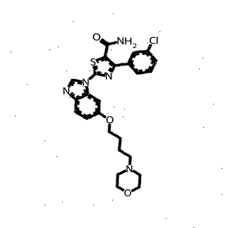 NC(=O)c1sc(-n2cnc3ccc(OCCCCN4CCOCC4)cc32)nc1-c1cccc(Cl)c1